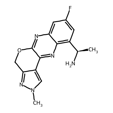 C[C@@H](N)c1cc(F)cc2nc3c(nc12)-c1cn(C)nc1CO3